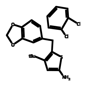 CC(C)(C)c1cc(N)sc1Cc1ccc2c(c1)OCO2.Clc1ccccc1Cl